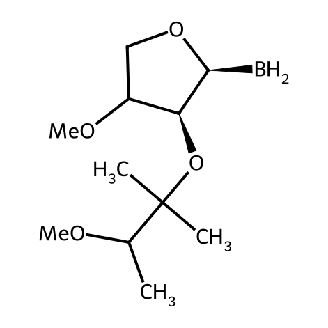 B[C@@H]1OCC(OC)[C@@H]1OC(C)(C)C(C)OC